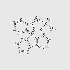 CC(C)(C)OC(C=O)=P(c1ccccc1)(c1ccccc1)c1ccccc1